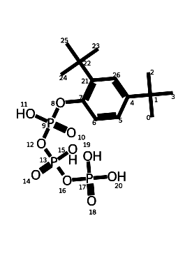 CC(C)(C)c1ccc(OP(=O)(O)OP(=O)(O)OP(=O)(O)O)c(C(C)(C)C)c1